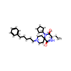 CC(C)C[C@@H]1NC(=O)C2(CCN(CCCCCc3ccccc3)CC2)N(C2CCCC2)C1=O